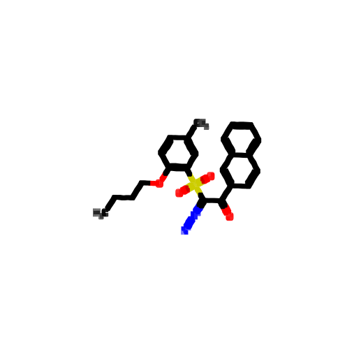 CCCCOc1ccc(C)cc1S(=O)(=O)C(=[N+]=[N-])C(=O)c1ccc2ccccc2c1